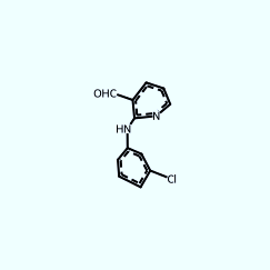 O=Cc1cccnc1Nc1cccc(Cl)c1